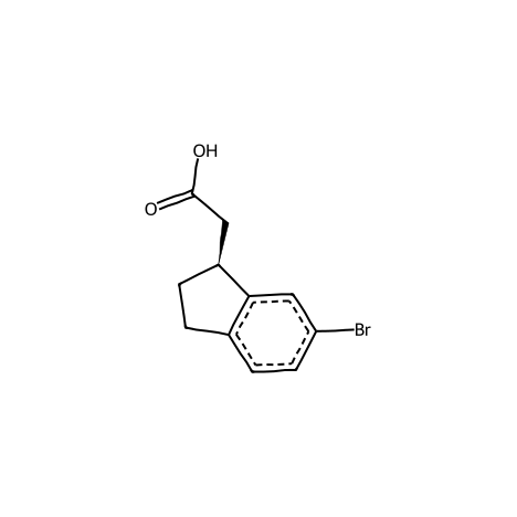 O=C(O)C[C@@H]1CCc2ccc(Br)cc21